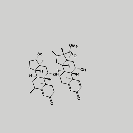 CC(=O)[C@H]1CC[C@H]2[C@@H]3C[C@H](C)C4=CC(=O)CC[C@]4(C)[C@H]3[C@@H](O)C[C@]12C.COC(=O)[C@@]1(C)[C@H](C)C[C@H]2[C@@H]3CCC4=CC(=O)C=C[C@]4(C)[C@H]3[C@@H](O)C[C@@]21C